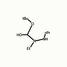 CCCNN(CC)C(O)OC(C)(C)C